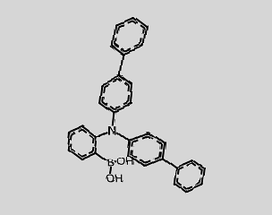 OB(O)c1ccccc1N(c1ccc(-c2ccccc2)cc1)c1ccc(-c2ccccc2)cc1